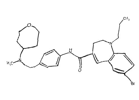 CCCN1CCC(C(=O)Nc2ccc(CN(C)C3CCOCC3)cc2)=Cc2cc(Br)ccc21